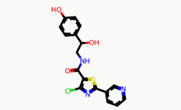 O=C(NCC(O)c1ccc(O)cc1)c1sc(-c2cccnc2)nc1Cl